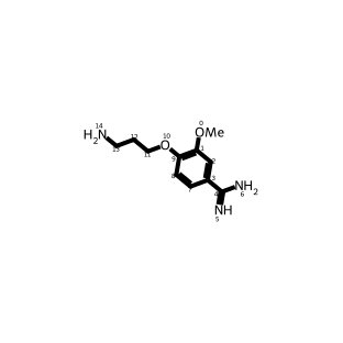 COc1cc(C(=N)N)ccc1OCCCN